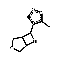 Cc1nocc1C1NC2COCC21